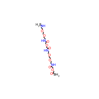 BNCCOCCOCCNC(=O)COCC(=O)NCCOCCOCCNC(=O)COCC(B)=O